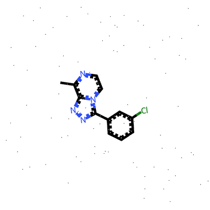 Cc1nccn2c(-c3cccc(Cl)c3)nnc12